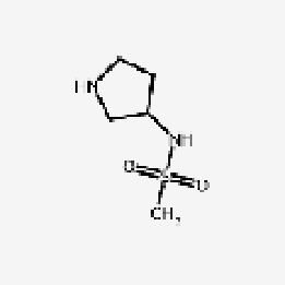 CS(=O)(=O)NC1CCNC1